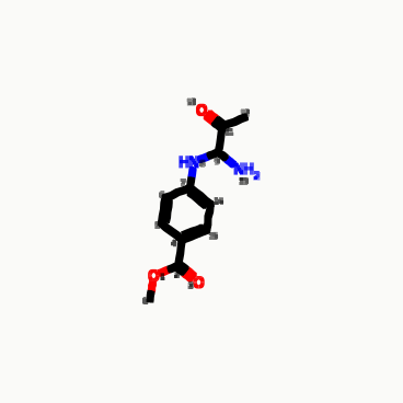 COC(=O)c1ccc(NC(N)C(C)=O)cc1